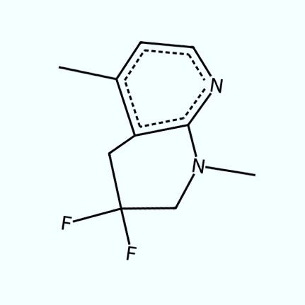 Cc1ccnc2c1CC(F)(F)CN2C